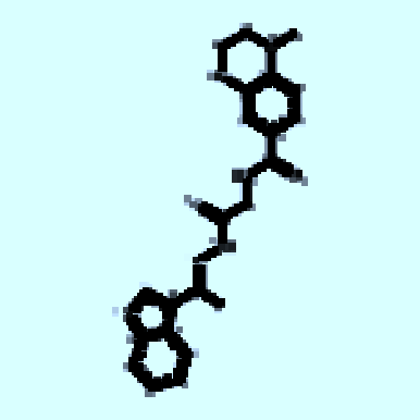 C/C(=N\NC(=O)CNC(=O)c1ccc2c(c1)OCCN2C)c1csc2ccccc12